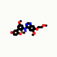 COCCOc1cc2ncnc(Nc3cc(OC)cc(C4=CC(=O)C=CC4=O)c3SC)c2cc1OC